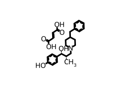 C[C@@H](CN1CCC(Cc2ccccc2)CC1)[C@@H](O)c1ccc(O)cc1.O=C(O)C=CC(=O)O